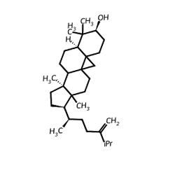 C=C(CC[C@@H](C)[C@H]1CC[C@@]2(C)C3CC[C@H]4C(C)(C)[C@@H](O)CCC45CC35CCC12C)C(C)C